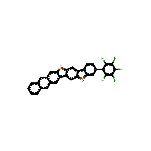 Fc1c(F)c(F)c(-c2ccc3c(c2)sc2cc4c(cc23)sc2cc3cc5ccccc5cc3cc24)c(F)c1F